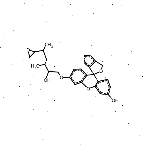 CC(CC(C)C1CO1)C(O)COc1ccc2c(c1)Oc1cc(O)ccc1C21OCc2ccccc21